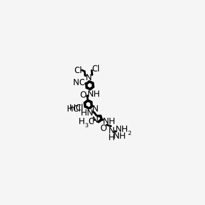 Cl.Cl.Cn1cc(NC(=O)CNC(=N)N)cc1-c1nc2cc(C(=O)Nc3ccc(N(CCCl)CCCl)c(C#N)c3)ccc2[nH]1